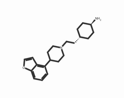 N[C@H]1CC[C@H](CCN2CCC(c3cccc4occc34)CC2)CC1